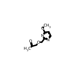 COc1ccnc(COCC(C)=O)n1